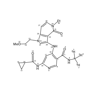 [2H]C([2H])([2H])NC(=O)c1cnc(NC(=O)C2CC2)cc1Nc1cn(CCOC)c2ccn(CC)c(=O)c12